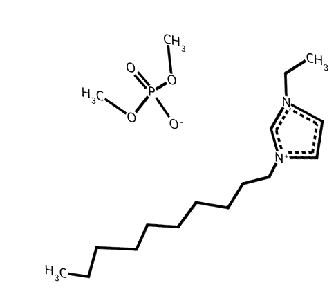 CCCCCCCCCC[n+]1ccn(CC)c1.COP(=O)([O-])OC